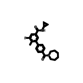 Cc1c(F)cc(C(=O)NC2CC2)cc1-c1ccc(C(=O)N2CCCCCC2)cc1